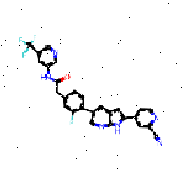 N#Cc1cc(-c2cc3cc(-c4ccc(CC(=O)Nc5cncc(C(F)(F)F)c5)cc4F)cnc3[nH]2)ccn1